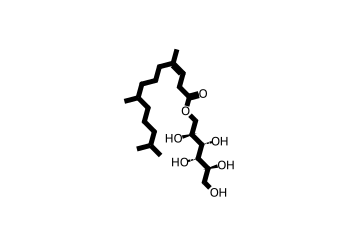 CC(=CCC(=O)OC[C@H](O)[C@H](O)[C@@H](O)[C@@H](O)CO)CCCC(C)CCCC(C)C